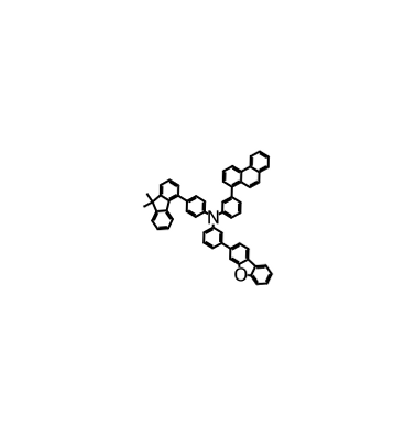 CC1(C)c2ccccc2-c2c(-c3ccc(N(c4cccc(-c5ccc6c(c5)oc5ccccc56)c4)c4cccc(-c5cccc6c5ccc5ccccc56)c4)cc3)cccc21